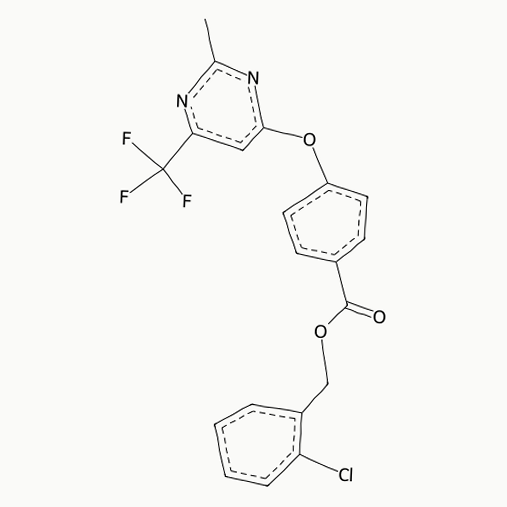 Cc1nc(Oc2ccc(C(=O)OCc3ccccc3Cl)cc2)cc(C(F)(F)F)n1